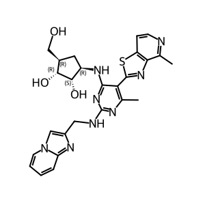 Cc1nc(NCc2cn3ccccc3n2)nc(N[C@@H]2C[C@H](CO)[C@@H](O)[C@H]2O)c1-c1nc2c(C)nccc2s1